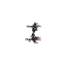 Cc1cc(C=Cc2ccc([C@H]3O[C@H](CCC(C)(C)C)[C@@H](OC(=O)C(C)(C)C)[C@@H](OC(=O)C(C)(C)C)[C@@H]3OC(=O)C(C)(C)C)cc2)ccc1[C@H]1O[C@H](COC(=O)C(C)(C)C)[C@@H](OC(=O)C(C)(C)C)[C@H](OC(=O)C(C)(C)C)[C@@H]1OC(=O)C(C)(C)C